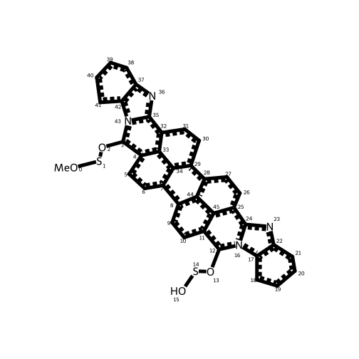 COSOc1c2ccc3c4ccc5c(OSO)n6c7ccccc7nc6c6ccc(c7ccc(c2c37)c2nc3ccccc3n12)c4c56